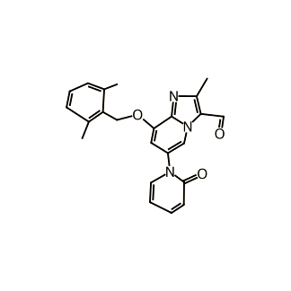 Cc1cccc(C)c1COc1cc(-n2ccccc2=O)cn2c(C=O)c(C)nc12